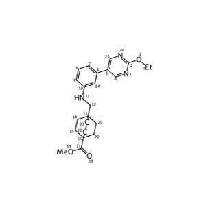 CCOc1ncc(-c2cccc(NCC34CCC(C(=O)OC)(CC3)CC4)c2)cn1